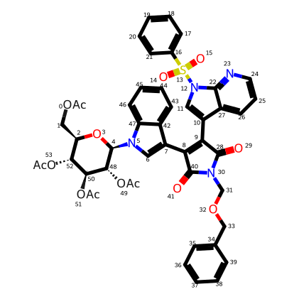 CC(=O)OC[C@H]1O[C@@H](n2cc(C3=C(c4cn(S(=O)(=O)c5ccccc5)c5ncccc45)C(=O)N(COCc4ccccc4)C3=O)c3ccccc32)[C@H](OC(C)=O)[C@@H](OC(C)=O)[C@@H]1OC(C)=O